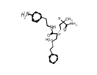 CC(F)(CC[C@H](C[C@@H](O)[CH]Cc1ccccc1)C(=O)NCCc1ccc(N)cc1)C(N)=O